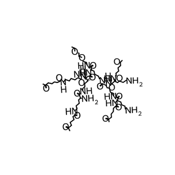 CCOCCOCCNC(=O)C(CCCCNC(=O)C(CCCCNC(=O)C(CCCCN)NC(=O)CCCCC(C)=O)NC(=O)C(CCCCN)NC(=O)CCCCC(C)=O)NC(=O)C(CCCCNC(=O)C(N)CCCCNC(=O)CCCCC(C)=O)NC(=O)C(N)CCCCNC(=O)CCCCC(C)=O